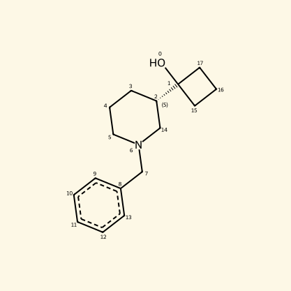 OC1([C@H]2CCCN(Cc3ccccc3)C2)CCC1